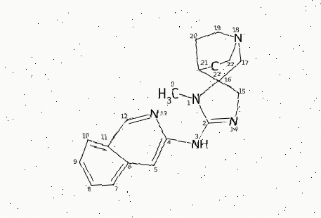 CN1C(Nc2cc3ccccc3cn2)=NCC12CN1CCC2CC1